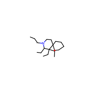 CC[C]N1CCC2(CCCCC2)C(CC)(CC)C1CC